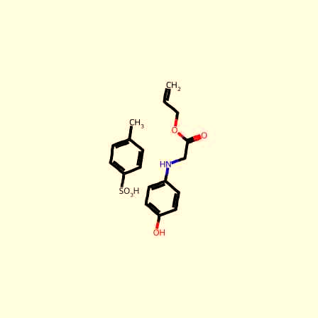 C=CCOC(=O)CNc1ccc(O)cc1.Cc1ccc(S(=O)(=O)O)cc1